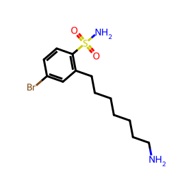 NCCCCCCCc1cc(Br)ccc1S(N)(=O)=O